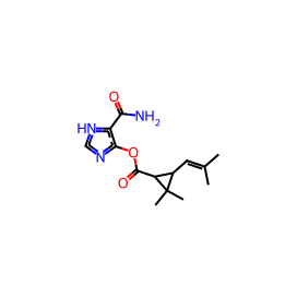 CC(C)=CC1C(C(=O)Oc2nc[nH]c2C(N)=O)C1(C)C